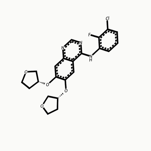 Fc1c(Cl)cccc1Nc1ncnc2cc(O[C@@H]3CCOC3)c(O[C@@H]3CCOC3)cc12